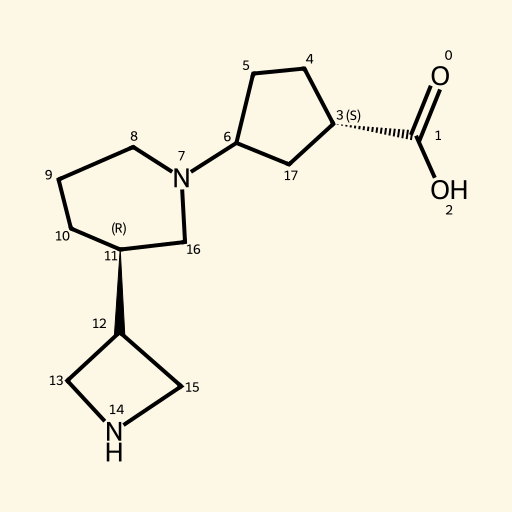 O=C(O)[C@H]1CCC(N2CCC[C@H](C3CNC3)C2)C1